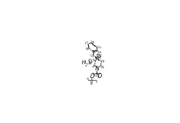 CC(C)(C)OC(=O)N1CC[N+]([O-])(Cc2ccccc2)CC1.O